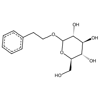 OC[C@H]1OC(OCCc2ccccc2)[C@H](O)[C@@H](O)[C@@H]1O